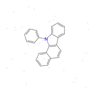 [c]1cc2c3ccccc3n(-c3ccccc3)c2c2ccccc12